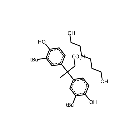 CC(C)(C)c1cc(C(C)(CC(=O)O)c2ccc(O)c(C(C)(C)C)c2)ccc1O.OCCCCCCO